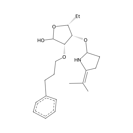 CC[C@H]1OC(O)[C@@H](OCCCc2ccccc2)[C@H]1OC1CCC(=C(C)C)N1